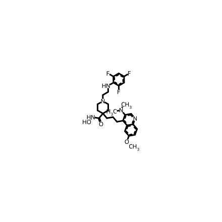 COc1ccc2ncc(N(C)C)c(CCCC3(C(=O)NO)CCN(CCNc4c(F)cc(F)cc4F)CC3)c2c1